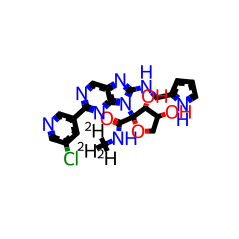 [2H]C([2H])([2H])NC(=O)C1(n2c(NCc3ccc[nH]3)nc3cnc(-c4cncc(Cl)c4)nc32)OCC(O)C1O